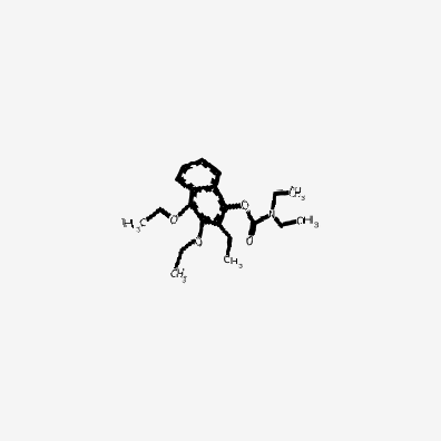 CCOc1c(CC)c(OC(=O)N(CC)CC)c2ccccc2c1OCC